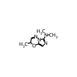 CC1C=Nn2c(cnc2N(C)C)O1